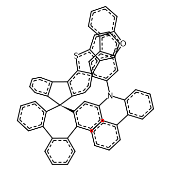 c1ccc(-c2ccccc2N(c2ccc3c(c2)[C@@]2(c4ccccc4-c4ccccc4-3)c3ccccc3-c3c2ccc2c3sc3ccccc32)c2ccc3c(c2)oc2ccccc23)cc1